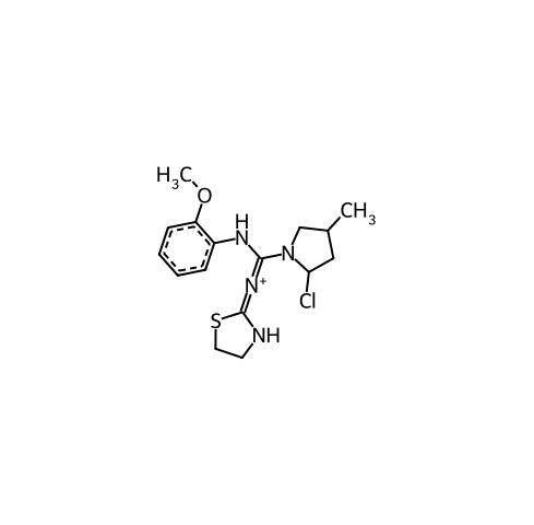 COc1ccccc1NC(=[N+]=C1NCCS1)N1CC(C)CC1Cl